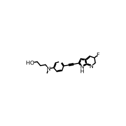 C=C(C#Cc1cc2c([nH]1)=NCC(F)C=2)/C=C\C(=C/C)N(C)CCCO